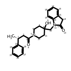 C[C@H](CC(=O)N1CCC(O)(CN2C(=O)Cc3ccccc32)CC1)c1ccccc1